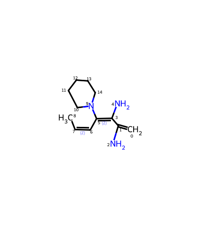 C=C(N)/C(N)=C(\C=C/C)N1CCCCC1